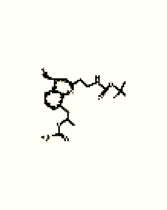 CC(Cc1cccc2c(C#N)cc(CCNC(=O)OC(C)(C)C)nc12)OC(N)=O